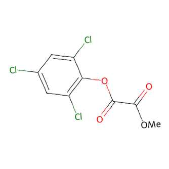 COC(=O)C(=O)Oc1c(Cl)cc(Cl)cc1Cl